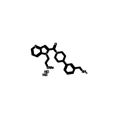 COCCn1c(C(=O)N2CCC(c3cccc(CN)c3)CC2)cc2ncccc21.Cl.Cl